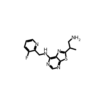 CC(CN)c1nc2c(NCc3ncccc3F)ncnc2s1